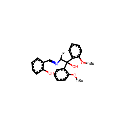 CCCCOc1ccccc1C(O)(c1ccccc1OCCCC)C(N=Cc1ccccc1O)C(C)C